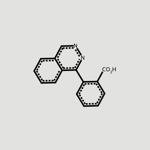 O=C(O)c1ccccc1-c1nncc2ccccc12